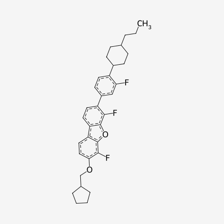 CCCC1CCC(c2ccc(-c3ccc4c(oc5c(F)c(OCC6CCCC6)ccc54)c3F)cc2F)CC1